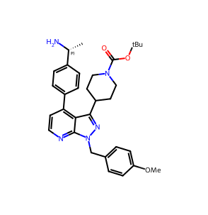 COc1ccc(Cn2nc(C3CCN(C(=O)OC(C)(C)C)CC3)c3c(-c4ccc([C@@H](C)N)cc4)ccnc32)cc1